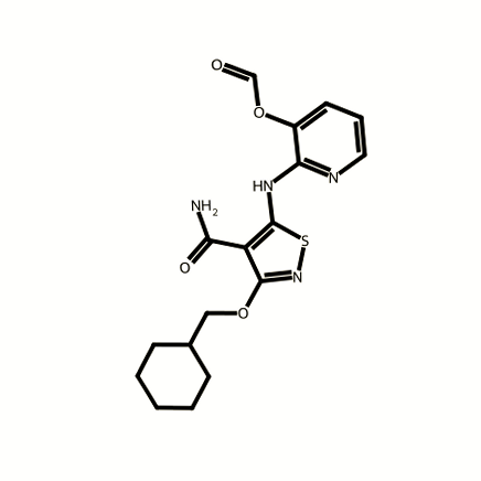 NC(=O)c1c(OCC2CCCCC2)nsc1Nc1ncccc1OC=O